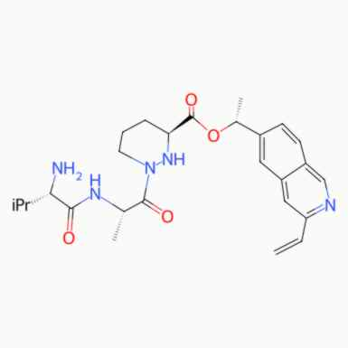 C=Cc1cc2cc([C@@H](C)OC(=O)[C@@H]3CCCN(C(=O)[C@H](C)NC(=O)[C@@H](N)C(C)C)N3)ccc2cn1